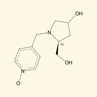 [O-][n+]1ccc(CN2CC(O)C[C@H]2CO)cc1